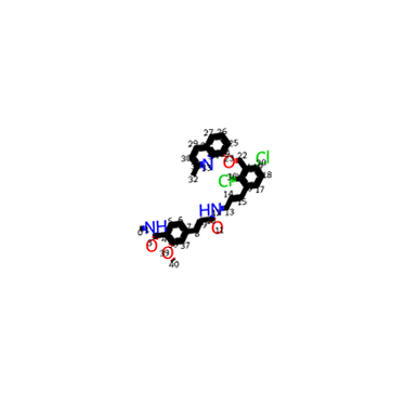 CNC(=O)c1ccc(C=CC(=O)NCC=Cc2ccc(Cl)c(COc3cccc4ccc(C)nc34)c2Cl)cc1OC